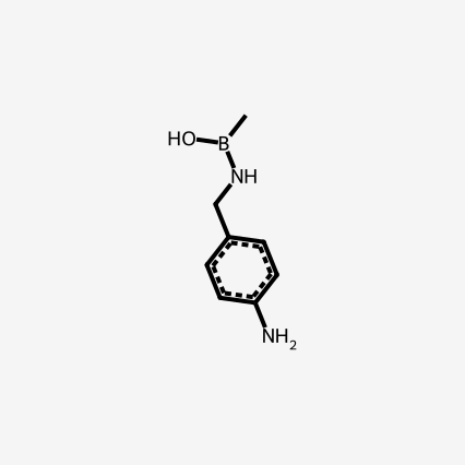 CB(O)NCc1ccc(N)cc1